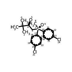 CC(C)(C)C(=O)CS(C)(=O)(c1ccc(Cl)cc1)c1ccc(Cl)cc1